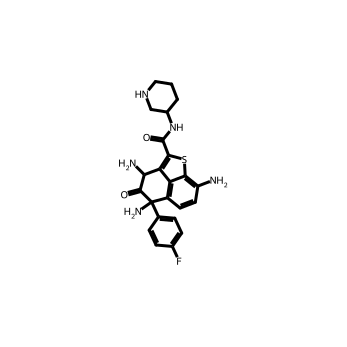 Nc1ccc2c3c(c(C(=O)NC4CCCNC4)sc13)C(N)C(=O)C2(N)c1ccc(F)cc1